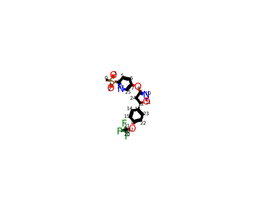 CS(=O)(=O)c1ccc(OC2=NO[C@H](c3ccc(OC(F)(F)F)cc3)C2)cn1